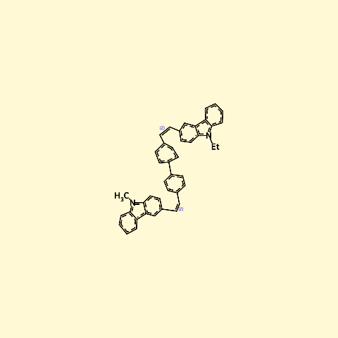 CCn1c2ccccc2c2cc(/C=C\c3ccc(-c4ccc(/C=C\c5ccc6c(c5)c5ccccc5n6C)cc4)cc3)ccc21